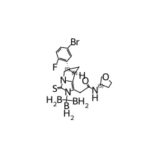 BC(B)(B)n1c(CC(=O)N[C@H]2CCOC2)c2n(c1=S)C[C@@]1(c3cc(Br)ccc3F)C[C@@H]21